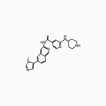 C=C(Nc1cc2cc(-c3cncn3C)ccc2cn1)c1ccnc(NC2CCNCC2)c1